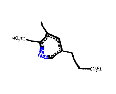 CCOC(=O)CCc1cnc(C(=O)O)c(C)c1